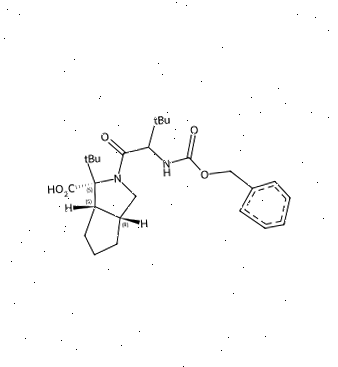 CC(C)(C)C(NC(=O)OCc1ccccc1)C(=O)N1C[C@@H]2CCC[C@@H]2[C@@]1(C(=O)O)C(C)(C)C